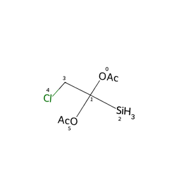 CC(=O)OC([SiH3])(CCl)OC(C)=O